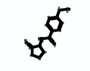 CC(C)Oc1ccc(C(=O)NC2CCCC2=O)cc1